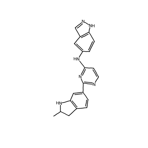 CC1Cc2ccc(-c3nccc(Nc4ccc5[nH]ncc5c4)n3)cc2N1